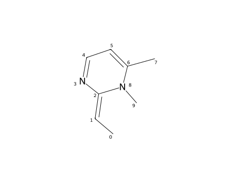 C/C=C1/N=CC=C(C)N1C